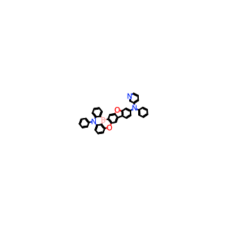 c1ccc(N(c2cccnc2)c2ccc3c(c2)oc2cc4c(cc23)Oc2cccc3c2B4c2ccccc2N3c2ccccc2)cc1